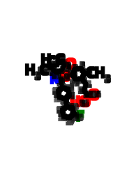 Cc1cc(OC(C)c2oc(-c3ccc(-c4cccc(F)c4)cc3)nc2C(C)C)ccc1CCC(=O)O